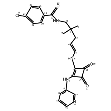 CC(C)(CC=CNc1c(Nc2cccnc2)c(=O)c1=O)CNC(=O)c1ccc(Cl)cc1